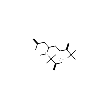 C=C(C)CC(CCC(=C)C(C)(C)NC)N(C)C(C)(C)C(=C)C